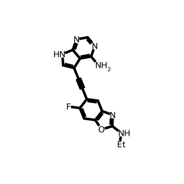 CCNc1nc2cc(C#Cc3c[nH]c4ncnc(N)c34)c(F)cc2o1